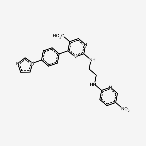 O=C(O)c1cnc(NCCNc2ccc([N+](=O)[O-])cn2)nc1-c1ccc(-n2ccnc2)cc1